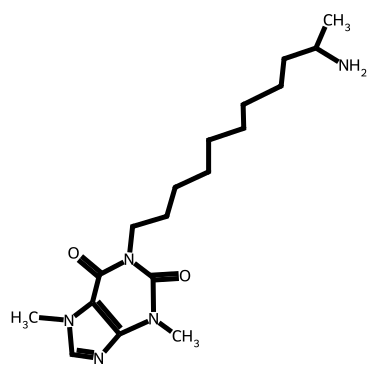 CC(N)CCCCCCCCCn1c(=O)c2c(ncn2C)n(C)c1=O